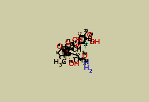 C[C@@H]1CC[C@@]23CCC(=O)[C@H]2[C@@]1(C)[C@H](C(Oc1ccc2c(c1F)B(O)OC2)C(=O)O)C[C@@](C)(CCC(N)=O)[C@@H](O)[C@@H]3C